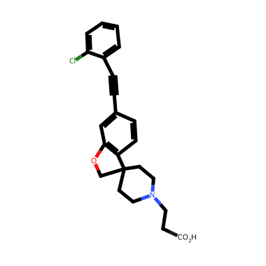 O=C(O)CCN1CCC2(CC1)COc1cc(C#Cc3ccccc3Cl)ccc12